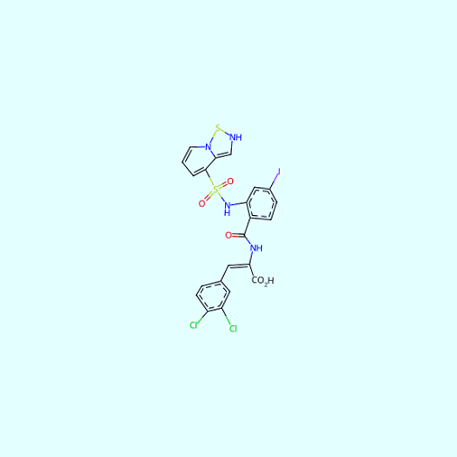 O=C(O)C(=Cc1ccc(Cl)c(Cl)c1)NC(=O)c1ccc(I)cc1NS(=O)(=O)C1=CC=CN2SNC=C12